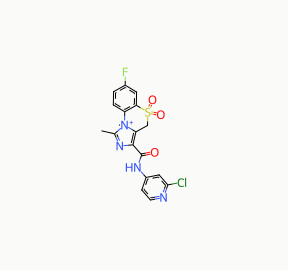 CC1=NC(C(=O)Nc2ccnc(Cl)c2)=C2CS(=O)(=O)c3cc(F)ccc3[N+]12